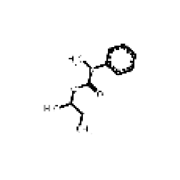 CCC(C)OC(=O)N(C)c1ccccc1